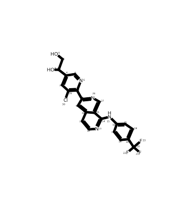 OCC(O)c1cnc(-c2cc3ccnc(Nc4ccc(C(F)(F)F)cc4)c3cn2)c(Cl)c1